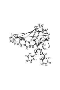 CN1CC2C3CC4=c5c6c7c8c(c9c%10c(cc%11cc%12c%13c%14c%15c%16c(cc(c5c%16c7c%15c5c%13c%11c%10c85)C4)=CC%14C%12)CC92C1c1ccc(OCc2ccccc2)c(OCc2ccccc2)c1)C63